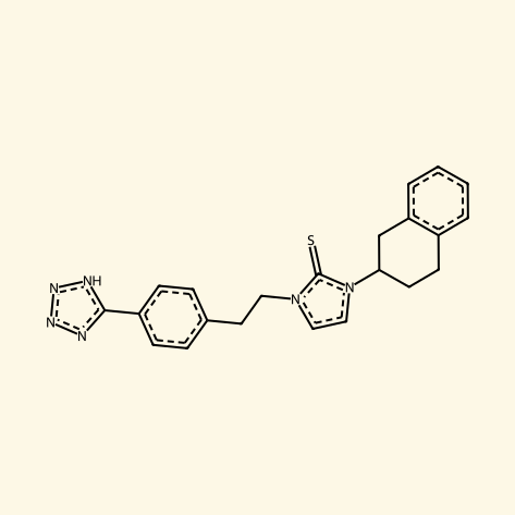 S=c1n(CCc2ccc(-c3nnn[nH]3)cc2)ccn1C1CCc2ccccc2C1